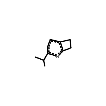 CC(C)c1ccc2c(n1)CC2